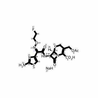 CC(=O)OCC1=C(C(=O)O)N2C(=O)[C@@H](NC(=O)/C(=N\OCCF)c3csc(N)n3)[C@H]2SC1.[NaH]